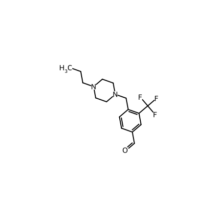 CCCN1CCN(Cc2ccc(C=O)cc2C(F)(F)F)CC1